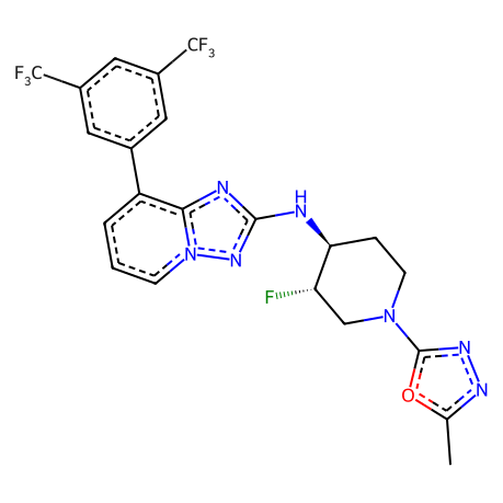 Cc1nnc(N2CC[C@H](Nc3nc4c(-c5cc(C(F)(F)F)cc(C(F)(F)F)c5)cccn4n3)[C@@H](F)C2)o1